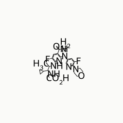 C[C@@H](Nc1nc(Nc2cnc(N3CCOCC3)c(F)c2)c(C(N)=O)cc1F)[C@@H](NC(=O)O)C1CC1